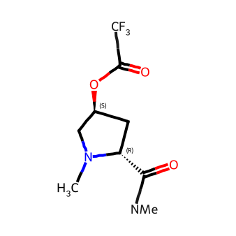 CNC(=O)[C@H]1C[C@H](OC(=O)C(F)(F)F)CN1C